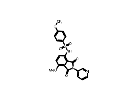 COc1ccc(NS(=O)(=O)c2ccc(OC(F)(F)F)cc2)c2c1C(=O)N(c1cccnc1)C2=O